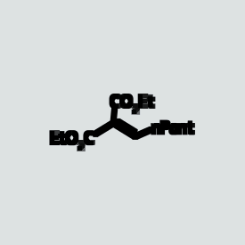 CCCCCC=C(C(=O)OCC)C(=O)OCC